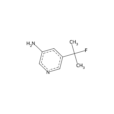 CC(C)(F)c1cncc(N)c1